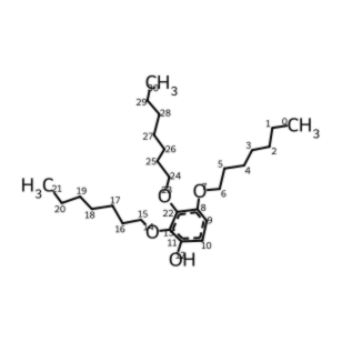 CCCCCCCOc1ccc(O)c(OCCCCCCC)c1OCCCCCCC